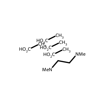 CC(=O)O.CC(=O)O.CC(=O)O.CC(=O)O.CNCCNC